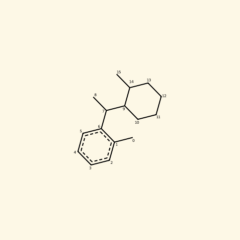 Cc1ccccc1C(C)C1CCCCC1C